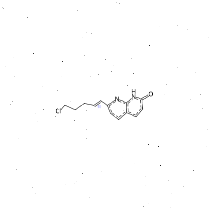 O=c1ccc2ccc(/C=C/CCCCl)nc2[nH]1